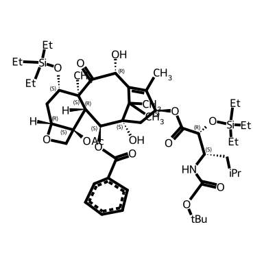 CC[Si](CC)(CC)O[C@H]1C[C@H]2OC[C@@]2(OC(C)=O)[C@H]2[C@H](OC(=O)c3ccccc3)[C@]3(O)C[C@H](OC(=O)[C@H](O[Si](CC)(CC)CC)[C@H](CC(C)C)NC(=O)OC(C)(C)C)C(C)=C([C@@H](O)C(=O)[C@]12C)C3(C)C